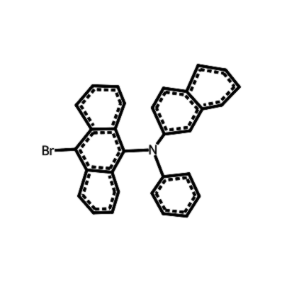 Brc1c2ccccc2c(N(c2ccccc2)c2ccc3ccccc3c2)c2ccccc12